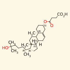 C[C@H](CCCC(C)(C)O)[C@H]1CC[C@H]2[C@@H]3CC=C4C[C@@H](OC(=O)CCC(=O)O)CC[C@]4(C)C3CC[C@]12C